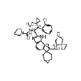 CC1([C@@H](c2ccccc2Cl)[C@H](NC(=O)N2CCCC2)c2nc3ccc(C4(C(=O)N[C@H]5CNCC56CCC6)CCOCC4)cc3[nH]2)CC1